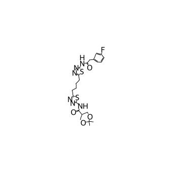 CC1(C)OCC(C(=O)Nc2nnc(CCCCc3nnc(NC(=O)Cc4cccc(F)c4)s3)s2)CO1